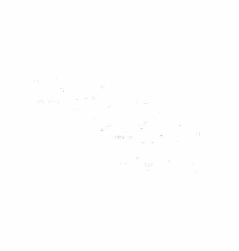 CCN(CC)CC(=O)N(C)c1ccc(N/C(=C2\C(=O)Nc3cc(OC)c(OC)cc32)c2ccccc2)cc1